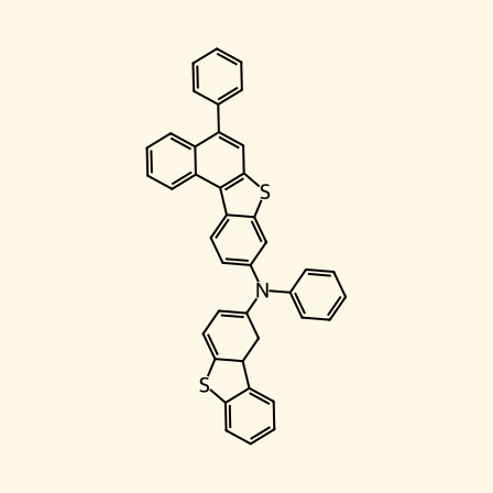 C1=C2Sc3ccccc3C2CC(N(c2ccccc2)c2ccc3c(c2)sc2cc(-c4ccccc4)c4ccccc4c23)=C1